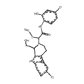 O=COC(C(=O)Nc1ccc(Cl)cc1O)N1CCc2c([nH]c3ccc(Cl)cc23)C1CO